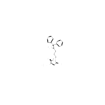 CC1=CC(=O)N(CCCC2OC2(c2ccccc2)c2ccccc2)C1=O